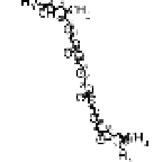 CC(C)=CCCC(C)CCOC=COC(=O)OCCOCCOC(=O)OC=COCCC(C)CCC=C(C)C